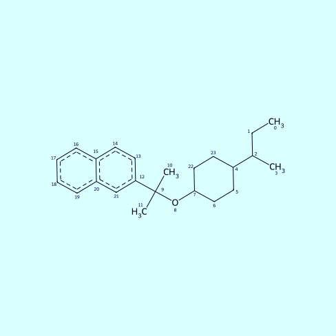 CCC(C)C1CCC(OC(C)(C)c2ccc3ccccc3c2)CC1